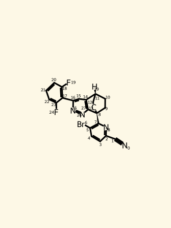 N#Cc1ccc(Br)c([C@]23CC[C@H](CC2)c2cc(-c4c(F)cccc4F)nnc23)n1